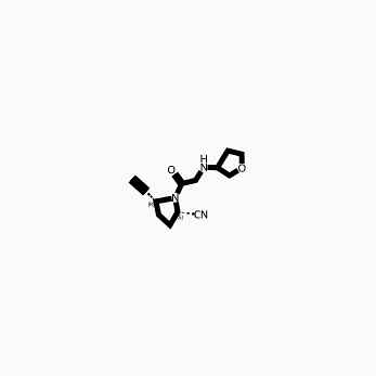 C#C[C@H]1CC[C@@H](C#N)N1C(=O)CNC1CCOC1